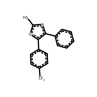 FC(F)(F)c1ccc(-c2oc(S)nc2-c2ccccc2)cc1